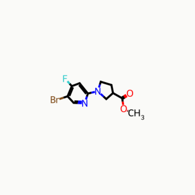 COC(=O)C1CCN(c2cc(F)c(Br)cn2)C1